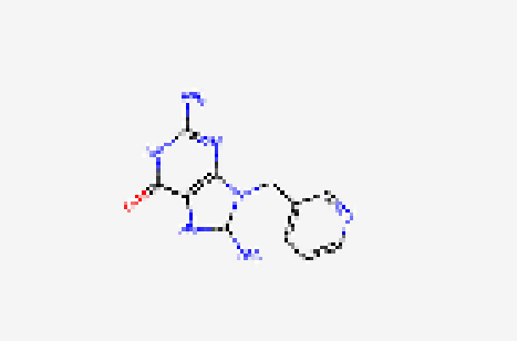 Nc1nc2c(c(=O)[nH]1)NC(N)N2Cc1cccnc1